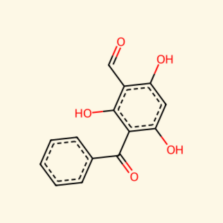 O=Cc1c(O)cc(O)c(C(=O)c2ccccc2)c1O